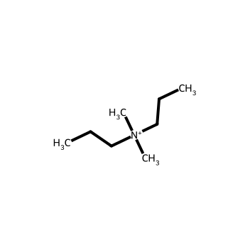 CCC[N+](C)(C)CCC